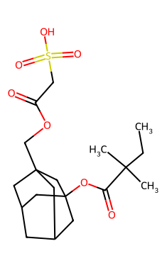 CCC(C)(C)C(=O)OC12CC3CC(CC(COC(=O)CS(=O)(=O)O)(C3)C1)C2